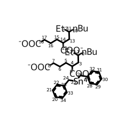 CCCCC(CC)CC(CCCC(=O)[O-])C(=O)[O-].CCCCC(CC)CC(CCCC(=O)[O-])C(=O)[O-].c1ccc([CH2][Sn+4][CH2]c2ccccc2)cc1